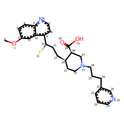 COc1ccc2nccc([C@H](F)CC[C@@H]3CCN(CCCc4cccnc4)C[C@@H]3C(=O)O)c2c1